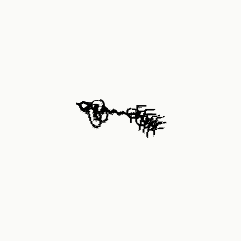 Cc1ccc(S(=O)(=O)OCCCCCCOC(F)(F)C(F)OC(F)(F)C(F)(F)C(F)(F)F)cc1